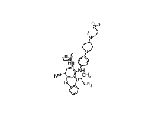 C=CC(=O)Nc1cc(N2CCC(N3CCS(=O)(=O)CC3)CC2)ccc1Nc1ncc(C#N)c(Nc2ccccc2OC(C)C)n1